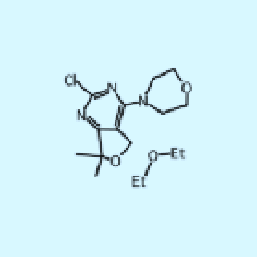 CC1(C)OCc2c(N3CCOCC3)nc(Cl)nc21.CCOCC